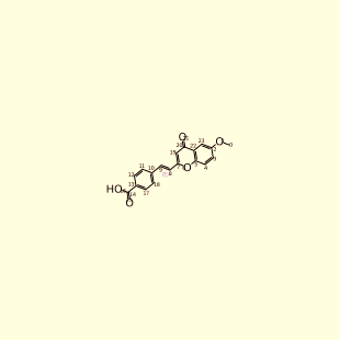 COc1ccc2oc(/C=C/c3ccc(C(=O)O)cc3)cc(=O)c2c1